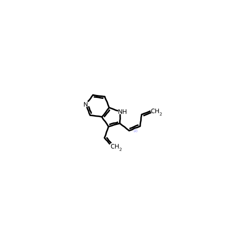 C=C/C=C\c1[nH]c2ccncc2c1C=C